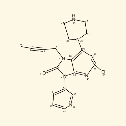 CC#CCn1c(=O)n(-c2cccnc2)c2nc(Cl)nc(N3CCNCC3)c21